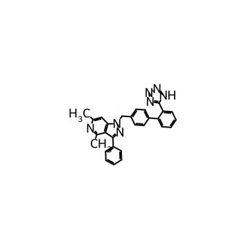 Cc1cc2c(c(C)n1)c(-c1ccccc1)nn2Cc1ccc(-c2ccccc2-c2nnn[nH]2)cc1